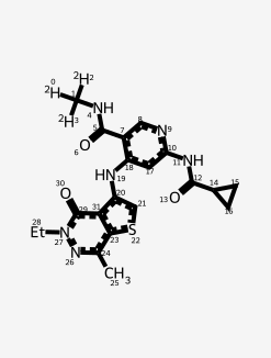 [2H]C([2H])([2H])NC(=O)c1cnc(NC(=O)C2CC2)cc1Nc1csc2c(C)nn(CC)c(=O)c12